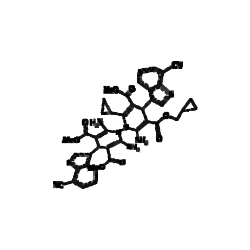 COC(=O)C1=C(N)N(N2C(N)=C(C(=O)OCC3CC3)C(c3csc4c(C#N)cccc34)C(C(=O)OC)=C2C2CC2)C(N)=C(C(=O)OC)C1c1csc2c(C#N)cccc12